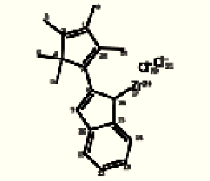 CC1=C(C)C(C)(C)C(C2=Cc3ccccc3[CH]2[Zr+2])=C1C.[Cl-].[Cl-]